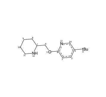 CC(C)(C)c1ccc(OCC2CCCCN2)nc1